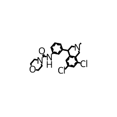 CN1Cc2c(Cl)cc(Cl)cc2C(c2cccc(NC(=O)N3CCOCC3)c2)C1